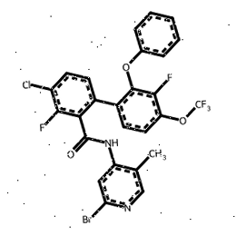 Cc1cnc(Br)cc1NC(=O)c1c(-c2ccc(OC(F)(F)F)c(F)c2Oc2ccccc2)ccc(Cl)c1F